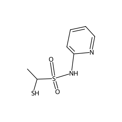 CC(S)S(=O)(=O)Nc1ccccn1